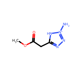 COC(=O)Cc1nn[n+](N)[nH]1